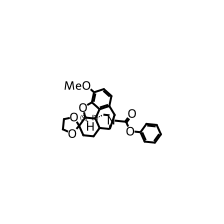 COc1ccc2c3c1O[C@@H]1C4(CCC5C(C2)N(C(=O)Oc2ccccc2)CC[C@]351)OCCO4